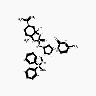 C=C(C)[C@@H]1CC[C@]2(C)SP(=S)(O[C@H]3C[C@H](n4ccc(N)nc4=O)O[C@@H]3CO[Si](c3ccccc3)(c3ccccc3)C(C)(C)C)O[C@H]2C1